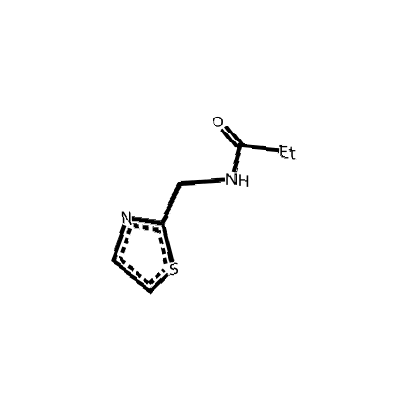 CCC(=O)NCc1nccs1